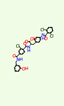 O=C(NCc1cccc(O)c1)c1ccc(C(=O)NC(Cc2ccc(NC(=O)c3c(Cl)cccc3Cl)cc2)C(=O)O)c(Cl)c1